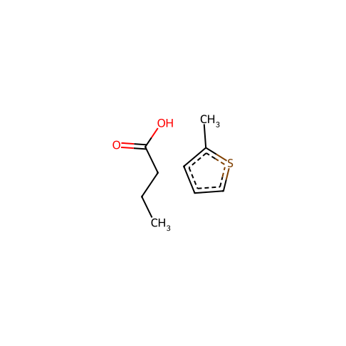 CCCC(=O)O.Cc1cccs1